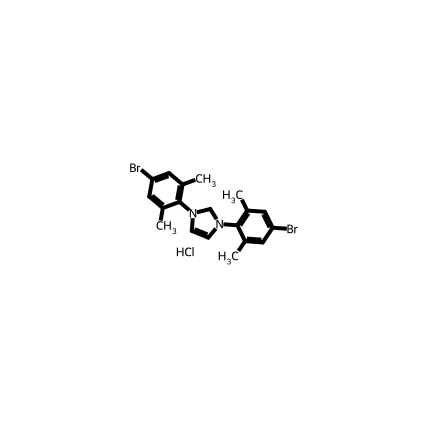 Cc1cc(Br)cc(C)c1N1C=CN(c2c(C)cc(Br)cc2C)C1.Cl